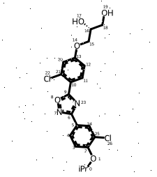 CC(C)Oc1ccc(-c2noc(-c3ccc(OC[C@H](O)CO)cc3Cl)n2)cc1Cl